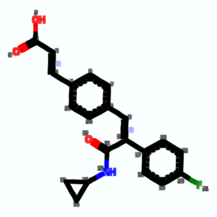 O=C(O)/C=C/c1ccc(/C=C(\C(=O)NC2CC2)c2ccc(F)cc2)cc1